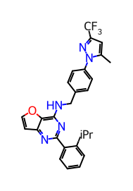 Cc1cc(C(F)(F)F)nn1-c1ccc(CNc2nc(-c3ccccc3C(C)C)nc3ccoc23)cc1